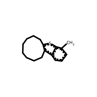 Cc1cccc2c3c(sc12)CCCCCCCC3